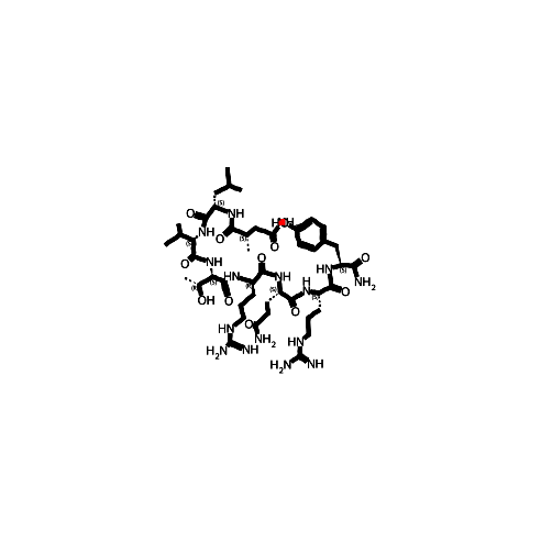 CC(C)C[C@H](NC(=O)[C@@H](C)CC(N)=O)C(=O)N[C@H](C(=O)N[C@H](C(=O)N[C@H](CCCNC(=N)N)C(=O)N[C@@H](CCC(N)=O)C(=O)N[C@@H](CCCNC(=N)N)C(=O)N[C@@H](Cc1ccc(O)cc1)C(N)=O)[C@@H](C)O)C(C)C